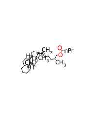 CCCC(=O)OCC(C)CCC[C@@H](C)[C@H]1CC[C@H]2[C@@H]3CCC4CCCC[C@]4(C)[C@H]3CC[C@]12C